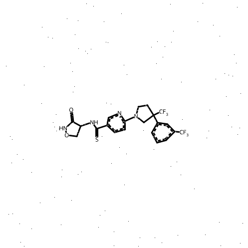 O=C1NOCC1NC(=S)c1ccc(N2CCC(c3cccc(C(F)(F)F)c3)(C(F)(F)F)C2)nc1